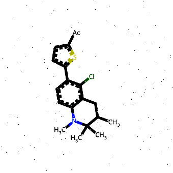 CC(=O)c1ccc(-c2ccc3c(c2Cl)CC(C)C(C)(C)N3C)s1